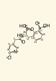 O=C(Cc1ccc(Cl)nc1)N[C@H]1Cc2cccc(C(=O)O)c2OB1O